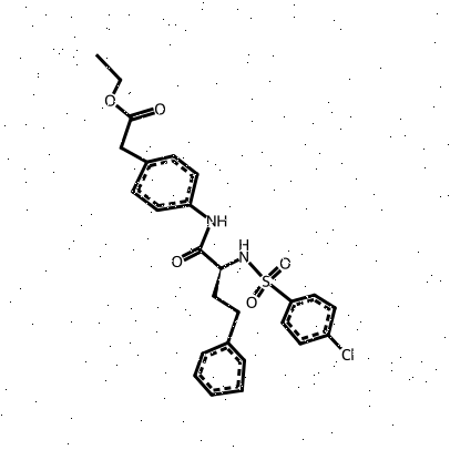 CCOC(=O)Cc1ccc(NC(=O)[C@H](CCc2ccccc2)NS(=O)(=O)c2ccc(Cl)cc2)cc1